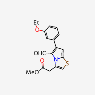 CCOc1cccc(-c2cc3scc(CC(=O)OC)n3c2C=O)c1